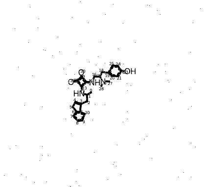 CC(CC1=CCc2ccccc21)Nc1c(NCC(Cc2ccc(O)cc2)N(C)C)c(=O)c1=O